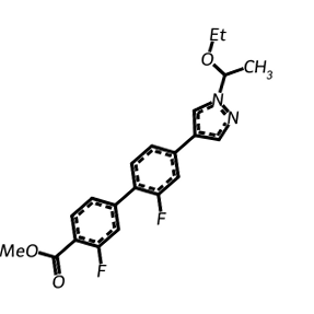 CCOC(C)n1cc(-c2ccc(-c3ccc(C(=O)OC)c(F)c3)c(F)c2)cn1